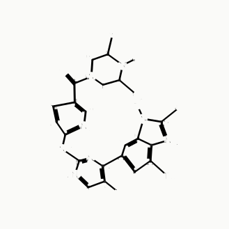 CCN1C(C)CN(C(=O)c2ccc(Nc3ncc(F)c(-c4cc(F)c5nc(C)n(C(C)C)c5c4)n3)nc2)CC1C